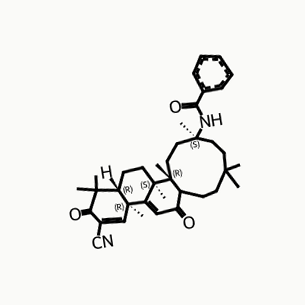 CC1(C)CCC2C(=O)C=C3[C@@]4(C)C=C(C#N)C(=O)C(C)(C)[C@@H]4CC[C@@]3(C)[C@]2(C)CC[C@@](C)(NC(=O)c2ccccc2)CC1